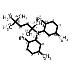 CC1CCC(C(C)C)C(N(C2CC(C)CCC2C(C)C)C(C)(C)CCC(C)(C)N)C1